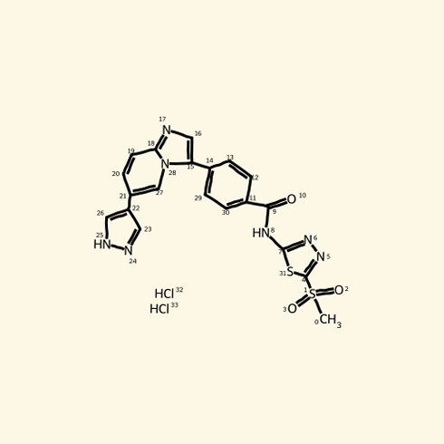 CS(=O)(=O)c1nnc(NC(=O)c2ccc(-c3cnc4ccc(-c5cn[nH]c5)cn34)cc2)s1.Cl.Cl